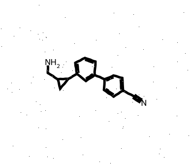 N#Cc1ccc(-c2cccc(C3CC3CN)c2)cc1